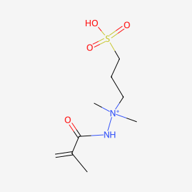 C=C(C)C(=O)N[N+](C)(C)CCCS(=O)(=O)O